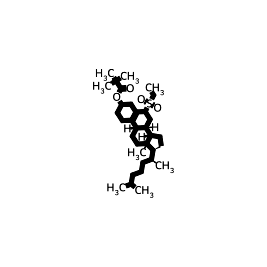 CCS(=O)(=O)C1C[C@@H]2[C@H](CC[C@]3(C)[C@@H]([C@H](C)CCCC(C)C)CC[C@@H]23)C2=C1CC(OC(=O)C(C)(C)C)CC2